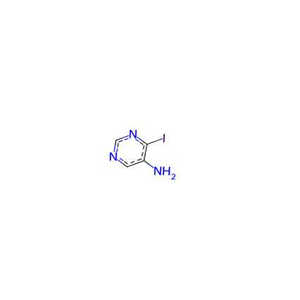 Nc1cncnc1I